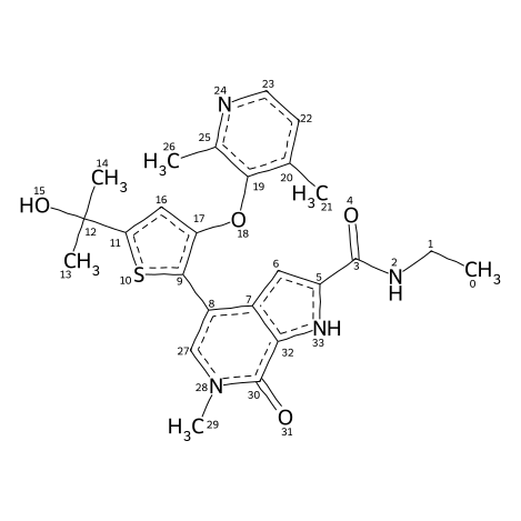 CCNC(=O)c1cc2c(-c3sc(C(C)(C)O)cc3Oc3c(C)ccnc3C)cn(C)c(=O)c2[nH]1